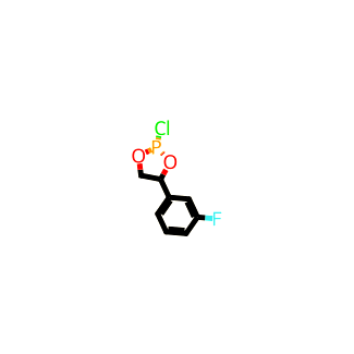 Fc1cccc(C2COP(Cl)O2)c1